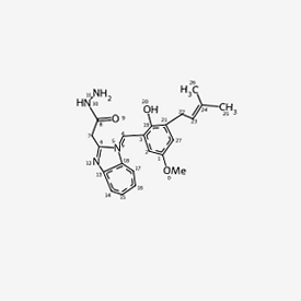 COc1cc(C=[N+]2C(CC(=O)NN)=Nc3ccccc32)c(O)c(CC=C(C)C)c1